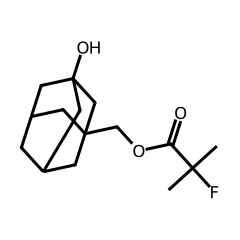 CC(C)(F)C(=O)OCC12CC3CC(CC(O)(C3)C1)C2